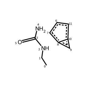 CCNC(N)=O.c1cc2cc-2c1